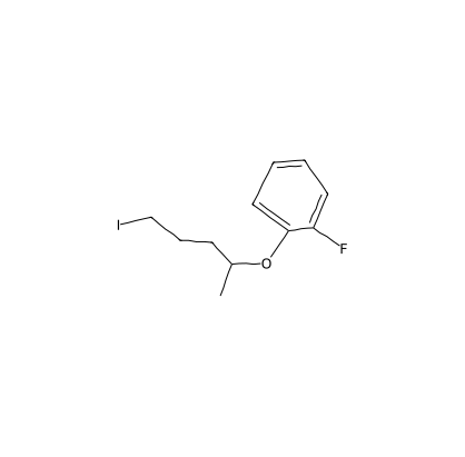 CC(CCCI)Oc1ccccc1F